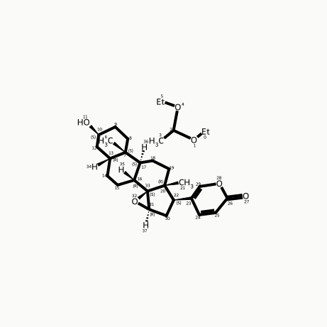 CCOC(C)OCC.C[C@]12CC[C@H](O)C[C@H]1CC[C@@H]1[C@@H]2CC[C@]2(C)[C@@H](c3ccc(=O)oc3)C[C@H]3O[C@]132